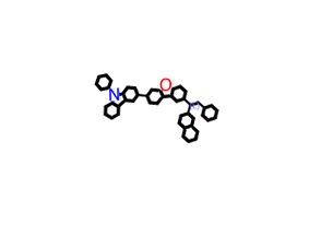 C(=C(/c1ccc2ccccc2c1)c1ccc2oc3cc(-c4ccc5c(c4)c4ccccc4n5-c4ccccc4)ccc3c2c1)/c1ccccc1